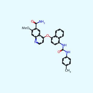 COc1cc2nccc(Oc3ccc(NC(=O)Nc4ccc(C)cc4)c4ccccc34)c2cc1C(N)=O